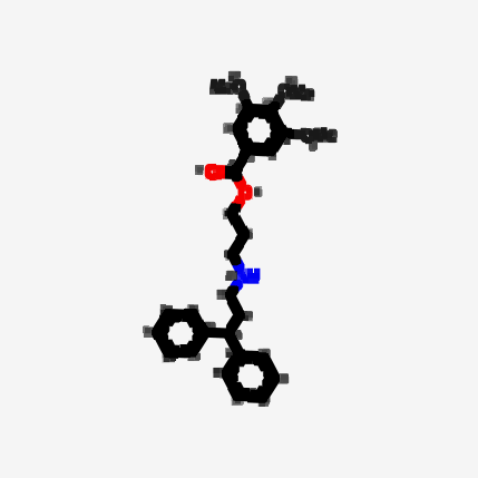 COc1cc(C(=O)OCCCNCCC(c2ccccc2)c2ccccc2)cc(OC)c1OC